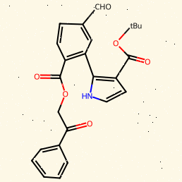 CC(C)(C)OC(=O)c1cc[nH]c1-c1cc(C=O)ccc1C(=O)OCC(=O)c1ccccc1